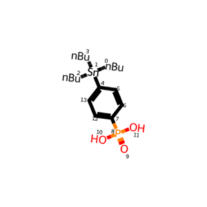 CCC[CH2][Sn]([CH2]CCC)([CH2]CCC)[c]1ccc(P(=O)(O)O)cc1